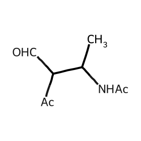 CC(=O)NC(C)C(C=O)C(C)=O